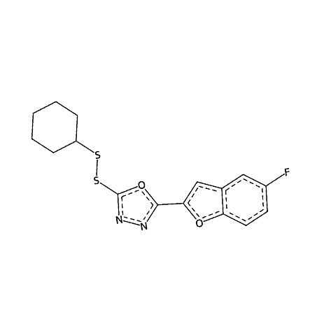 Fc1ccc2oc(-c3nnc(SSC4CCCCC4)o3)cc2c1